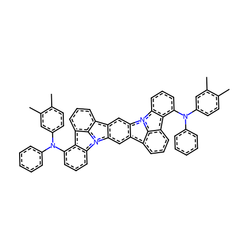 Cc1ccc(N(c2ccccc2)c2cccc3c2c2cccc4c5cc6c(cc5n3c42)c2cccc3c4c(N(c5ccccc5)c5ccc(C)c(C)c5)cccc4n6c23)cc1C